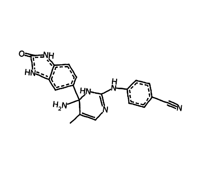 CC1=CN=C(Nc2ccc(C#N)cc2)NC1(N)c1ccc2[nH]c(=O)[nH]c2c1